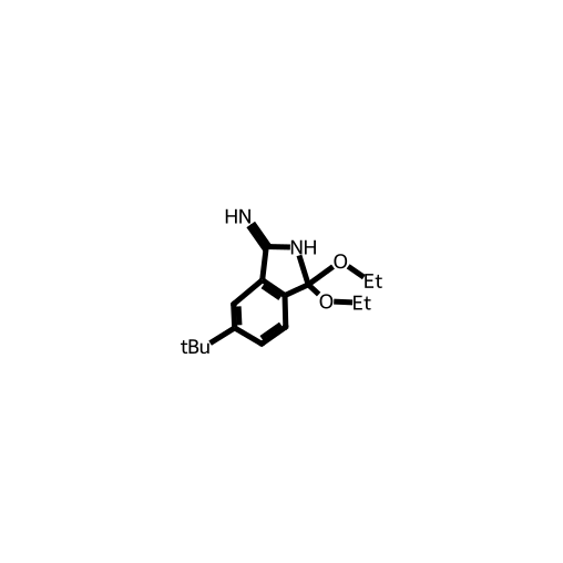 CCOC1(OCC)NC(=N)c2cc(C(C)(C)C)ccc21